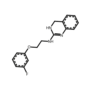 Fc1cccc(OCCNC2=Nc3ccccc3CN2)c1